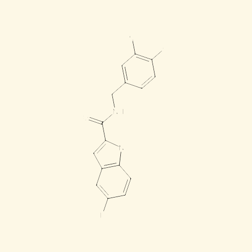 O=C(NCc1ccc(Cl)c(Cl)c1)c1cc2cc(F)ccc2[nH]1